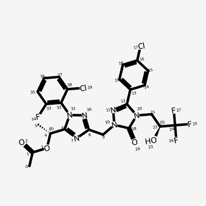 CC(=O)O[C@H](C)c1nc(Cn2nc(-c3ccc(Cl)cc3)n(C[C@H](O)C(F)(F)F)c2=O)nn1-c1c(F)cccc1Cl